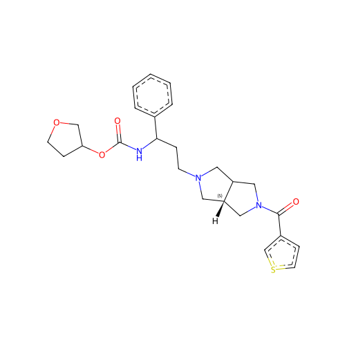 O=C(NC(CCN1CC2CN(C(=O)c3ccsc3)C[C@@H]2C1)c1ccccc1)OC1CCOC1